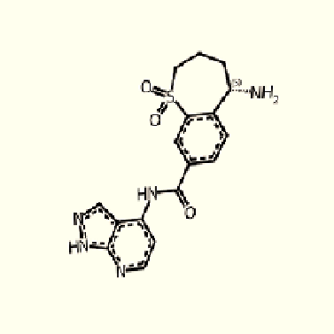 N[C@H]1CCCS(=O)(=O)c2cc(C(=O)Nc3ccnc4[nH]ncc34)ccc21